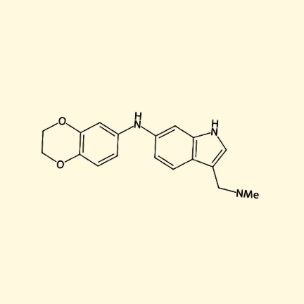 CNCc1c[nH]c2cc(Nc3ccc4c(c3)OCCO4)ccc12